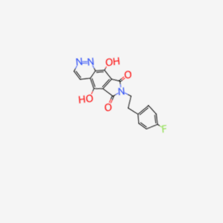 O=C1c2c(c(O)c3nnccc3c2O)C(=O)N1CCc1ccc(F)cc1